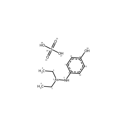 CC[As](CC)Nc1ccc(O)cc1.O=S(=O)(O)O